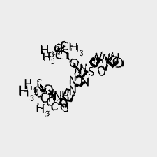 C[C@@H]1OCC2(CCN(c3cnc4c(Sc5ccnc6c5OCC5(COC5)N6)nn(COCC[Si](C)(C)C)c4n3)CC2)[C@@H]1NC(=O)OC(C)(C)C